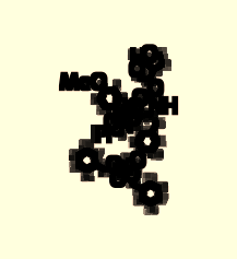 COc1ccc(S(=O)(=O)N(CC(C)C)C[C@@H](O)[C@H](Cc2ccc(OCP(=O)(OCc3ccccc3)OCc3ccccc3)cc2)NC(=O)O[C@H]2CO[C@H]3OCCC32)cc1